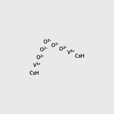 [CsH].[CsH].[O-2].[O-2].[O-2].[O-2].[O-2].[V+5].[V+5]